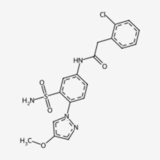 COc1cnn(-c2ccc(NC(=O)Cc3ccccc3Cl)cc2S(N)(=O)=O)c1